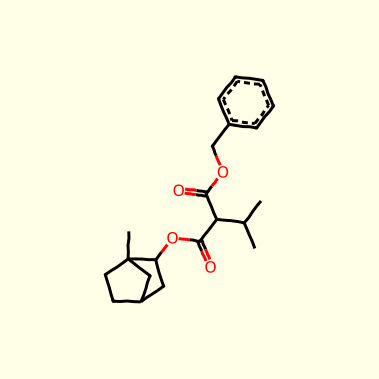 CC(C)C(C(=O)OCc1ccccc1)C(=O)OC1CC2CCC1(C)C2